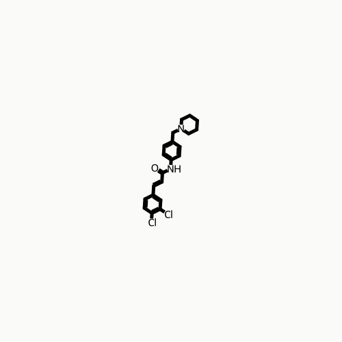 O=C(C=Cc1ccc(Cl)c(Cl)c1)Nc1ccc(CN2CCCCC2)cc1